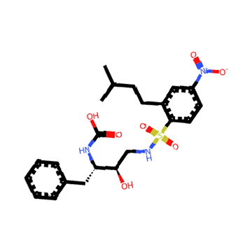 CC(C)CCc1cc([N+](=O)[O-])ccc1S(=O)(=O)NC[C@@H](O)[C@H](Cc1ccccc1)NC(=O)O